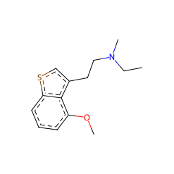 CCN(C)CCc1csc2cccc(OC)c12